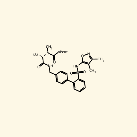 CCCCCC(=O)N(C)[C@H](C(=O)NCc1ccc(-c2ccccc2S(=O)(=O)Nc2onc(C)c2C)cc1)[C@@H](C)CC